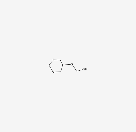 SCSC1CSCSC1